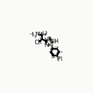 NC(=O)C(Cl)C1=NN(c2ccc(Cl)cc2)NO1